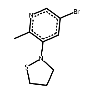 Cc1ncc(Br)cc1N1CCCS1